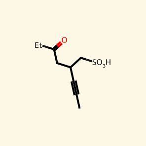 CC#CC(CC(=O)CC)CS(=O)(=O)O